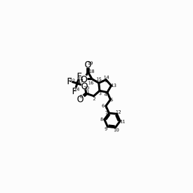 O=C(CC1C(C[CH]c2ccccc2)C[CH]C1C1OC1=O)OC(F)(F)F